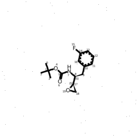 CC(C)(C)OC(=O)N[C@@H](Cc1cccc(F)c1)[C@H]1CO1